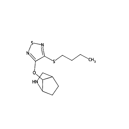 CCCCSc1nsnc1OC1C2CCC1NC2